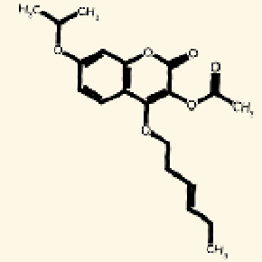 CCC=CCCOc1c(OC(C)=O)c(=O)oc2cc(OC(C)C)ccc12